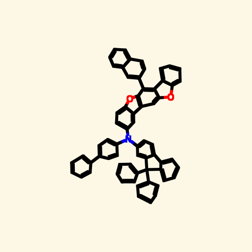 c1ccc(-c2ccc(N(c3ccc4c(c3)C(c3ccccc3)(c3ccccc3)c3ccccc3-4)c3ccc4oc5c(-c6ccc7ccccc7c6)c6c(cc5c4c3)oc3ccccc36)cc2)cc1